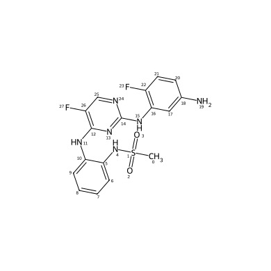 CS(=O)(=O)Nc1ccccc1Nc1nc(Nc2cc(N)ccc2F)ncc1F